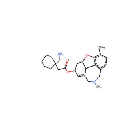 COc1ccc2c3c1OC1CC(OC(=O)CC4(CN)CCCCC4)C=C(CN(C)C2)C31